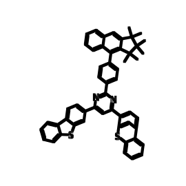 CC1(C)c2cc3ccccc3c(-c3ccc(-c4nc(-c5ccc6c(c5)sc5ccccc56)cc(-c5ccc6cc5Sc5ccccc5-6)n4)cc3)c2C(C)(C)C1(C)C